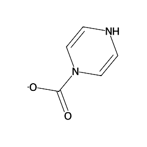 [O]C(=O)N1C=CNC=C1